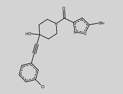 CC(C)(C)c1cc(C(=O)N2CCC(O)(C#Cc3cccc(Cl)c3)CC2)no1